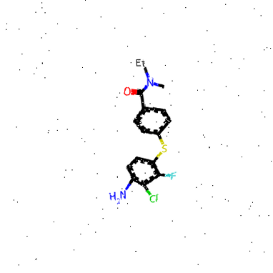 CCN(C)C(=O)c1ccc(Sc2ccc(N)c(Cl)c2F)cc1